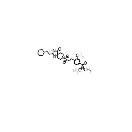 Cc1cc(C(=O)N(C)C)ccc1CCS(=O)(=O)N1CCC2(CC1)N=C(CCC1CCCCC1)NC2=O